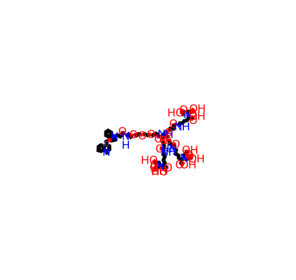 CN1C=C/C(=C\c2cc[n+](CCC(=O)NCCOCCOCCOCCC(=O)NC(COCCC(=O)NCCCCC(C(=O)O)N(CC(=O)O)CC(=O)O)(COCCC(=O)NCCCCC(C(=O)O)N(CC(=O)O)CC(=O)O)COCCC(=O)NCCCCC(C(=O)O)N(CC(=O)O)CC(=O)O)c3ccccc23)c2ccccc21